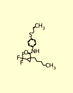 C=CCSc1ccc(NC(=O)C2(CCCCC)CC2C(F)(F)F)cc1